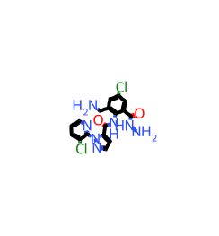 NCc1cc(Cl)cc(C(=O)NN)c1NC(=O)c1ccnn1-c1ncccc1Cl